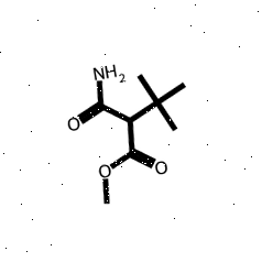 COC(=O)C(C(N)=O)C(C)(C)C